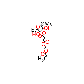 C=CC(=O)OCCOC(=O)CCC(=O)OC1[C@H](O)C(CC)O[C@H](OC)[C@H]1O